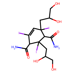 NC(=O)C1C(I)=CC(I)(CC(O)CO)C(C(N)=O)C1(I)CC(O)CO